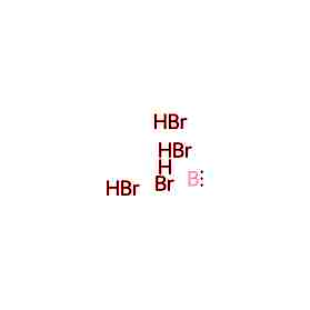 Br.Br.Br.Br.[B]